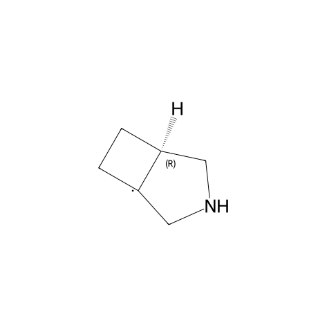 C1C[C@H]2CNC[C]12